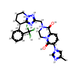 Cc1cn(-c2ccc3n(c2=O)CCN(Cc2nc4n(n2)CCC[C@@H]4c2ccccc2C(F)(F)F)C3=O)cn1